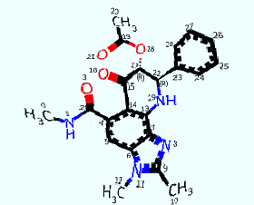 CNC(=O)c1cc2c(nc(C)n2C)c2c1C(=O)[C@H](OC(C)=O)[C@@H](c1ccccc1)N2